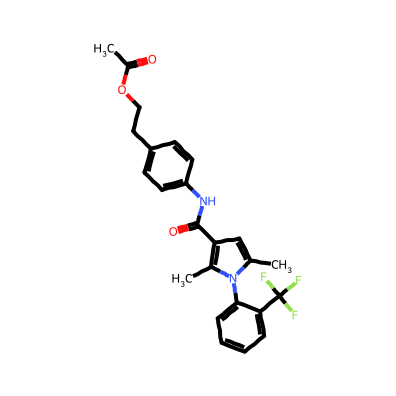 CC(=O)OCCc1ccc(NC(=O)c2cc(C)n(-c3ccccc3C(F)(F)F)c2C)cc1